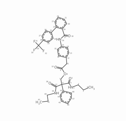 CCCNC(=O)C(COC(=O)Cc1ccc(NC(=O)c2ccccc2-c2ccc(C(F)(F)F)cc2)cc1)(C(=O)NCCC)c1ccccc1